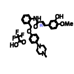 COc1ccc(/C=C/C(=O)Nc2ccccc2COc2ccc(N3CCN(C)CC3)cc2)cc1O.O=C(O)C(F)(F)F